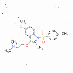 COc1ccc2c(c1)c(OCCN(C)C)c(C)n2S(=O)(=O)c1ccc(C)cc1